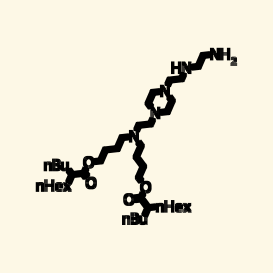 CCCCCCC(CCCC)C(=O)OCCCCN(CCCCOC(=O)C(CCCC)CCCCCC)CCN1CCN(CCNCCN)CC1